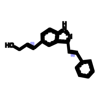 OC/C=C/c1ccc2[nH]nc(/C=C/c3ccccc3)c2c1